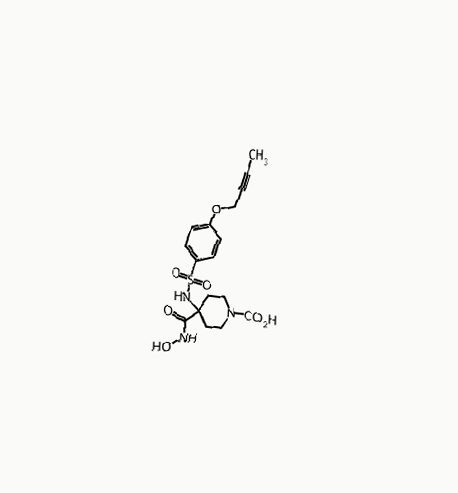 CC#CCOc1ccc(S(=O)(=O)NC2(C(=O)NO)CCN(C(=O)O)CC2)cc1